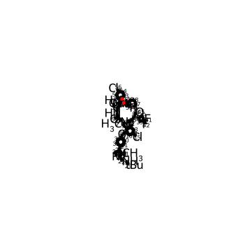 COC[C@@H]1NC(=O)[C@H](C)N(Cc2c(F)cc(Cl)cc2Oc2ccc(-c3cnc(CNC(C)(C)C)n3C)cc2)C(=O)C[C@@H](C2CC(F)(F)C2)C(=O)N2CCC[C@@](Cc3ccc(Cl)cc3)(C2)N(C)C1=O